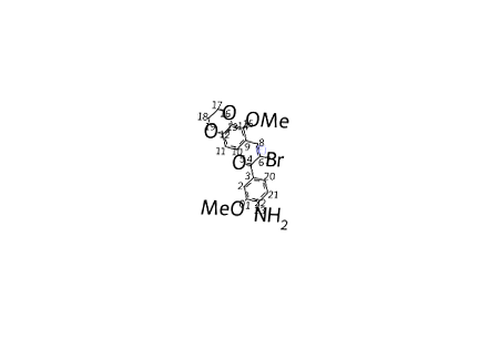 COc1cc(C(=O)/C(Br)=C\c2ccc3c(c2OC)OCCO3)ccc1N